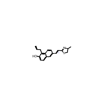 C=CCc1c(O)ccc2cc(/C=C/C3=NC(C)CS3)ccc12